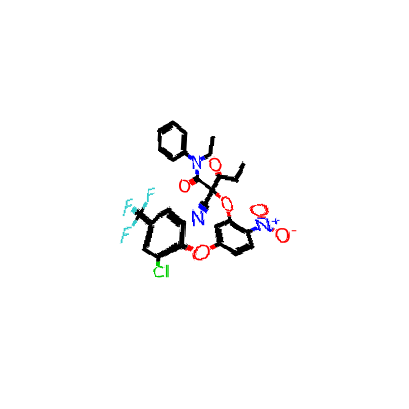 CCC(=O)C(C#N)(Oc1cc(Oc2ccc(C(F)(F)F)cc2Cl)ccc1[N+](=O)[O-])C(=O)N(CC)c1ccccc1